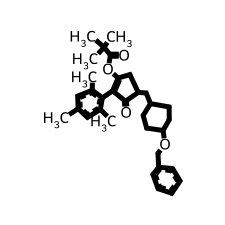 Cc1cc(C)c(C2=C(OC(=O)C(C)(C)C)CC(CC3CCC(OCc4ccccc4)CC3)C2=O)c(C)c1